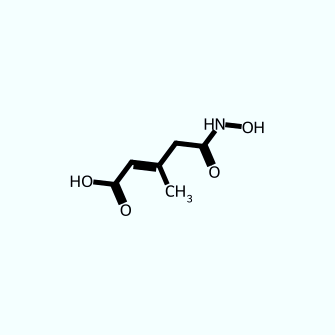 C/C(=C\C(=O)O)CC(=O)NO